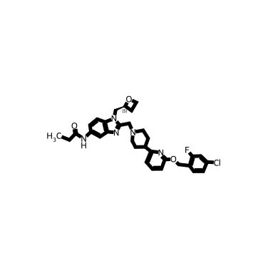 CCC(=O)Nc1ccc2c(c1)nc(CN1CCC(c3cccc(OCc4ccc(Cl)cc4F)n3)CC1)n2C[C@@H]1CCO1